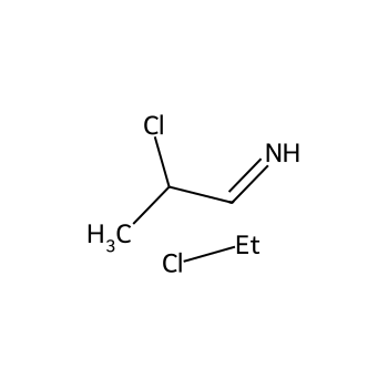 CC(Cl)C=N.CCCl